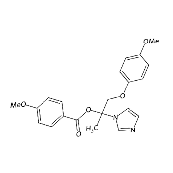 COc1ccc(OCC(C)(OC(=O)c2ccc(OC)cc2)n2ccnc2)cc1